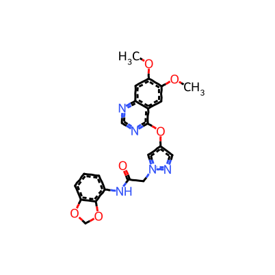 COc1cc2ncnc(Oc3cnn(CC(=O)Nc4cccc5c4OCO5)c3)c2cc1OC